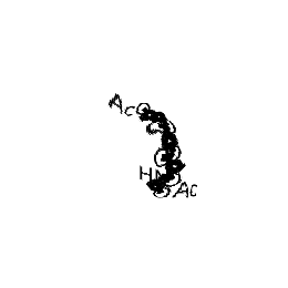 CC(=O)Oc1cccc(NC(=O)c2cccc(C(=O)Oc3ccc(C(=O)Oc4ccc5cc(OC(C)=O)ccc5c4)cc3)c2)c1